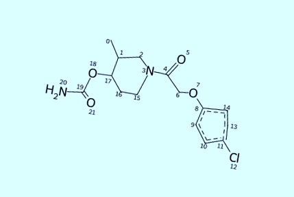 CC1CN(C(=O)COc2ccc(Cl)cc2)CCC1OC(N)=O